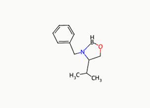 CC(C)C1COBN1Cc1ccccc1